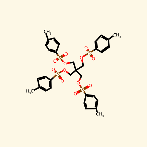 Cc1ccc(S(=O)(=O)OCC(COS(=O)(=O)c2ccc(C)cc2)(COS(=O)(=O)c2ccc(C)cc2)COS(=O)(=O)c2ccc(C)cc2)cc1